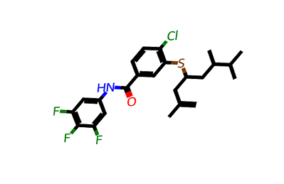 C=C(C)CC(CC(C)C(C)C)Sc1cc(C(=O)Nc2cc(F)c(F)c(F)c2)ccc1Cl